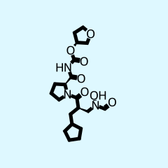 O=CN(O)C[C@@H](CC1CCCC1)C(=O)N1CCC[C@H]1C(=O)NC(=O)O[C@H]1CCOC1